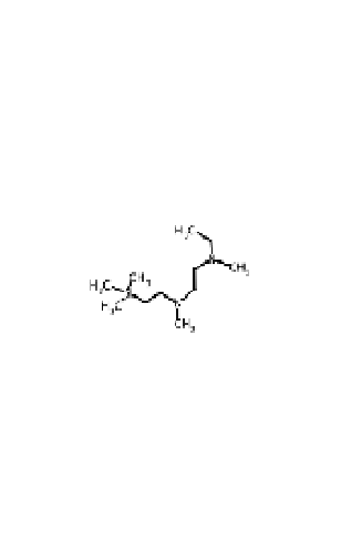 CCN(C)CCN(C)CC[Si](C)(C)C